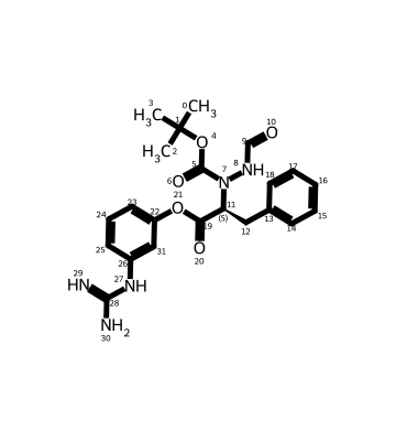 CC(C)(C)OC(=O)N(NC=O)[C@@H](Cc1ccccc1)C(=O)Oc1cccc(NC(=N)N)c1